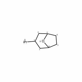 CC(C)C1CC2CCC(C1)O2